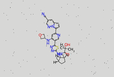 CC(C)(O)C(=O)N[C@H]1[C@@H]2CC[C@H]1CN(c1nnc(-c3cnc(-c4ccc5cc(C#N)cnn45)cc3NC3COC3)s1)C2